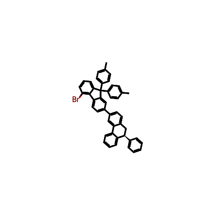 Cc1ccc(C2(c3ccc(C)cc3)c3cc(-c4ccc5c(c4)-c4ccccc4[C@H](c4ccccc4)C5)ccc3-c3c(Br)cccc32)cc1